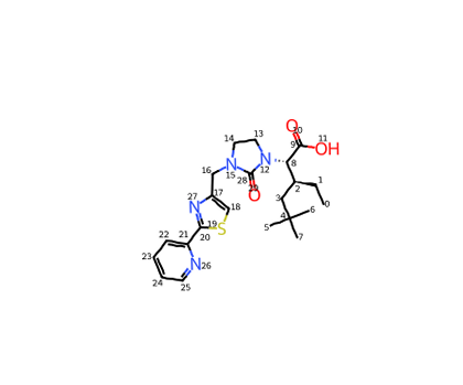 CC[C@@H](CC(C)(C)C)[C@@H](C(=O)O)N1CCN(Cc2csc(-c3ccccn3)n2)C1=O